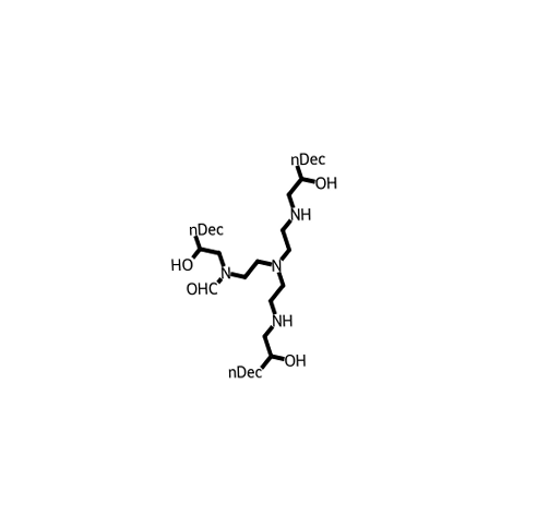 CCCCCCCCCCC(O)CNCCN(CCNCC(O)CCCCCCCCCC)CCN(C=O)CC(O)CCCCCCCCCC